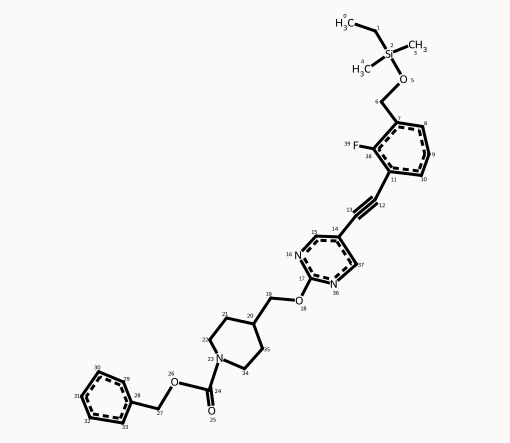 CC[Si](C)(C)OCc1cccc(C#Cc2cnc(OCC3CCN(C(=O)OCc4ccccc4)CC3)nc2)c1F